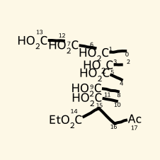 CC(=O)O.CC(=O)O.CC(=O)O.CC(=O)O.CC(=O)O.CC(=O)O.CC(=O)O.CCOC(=O)CCC(C)=O